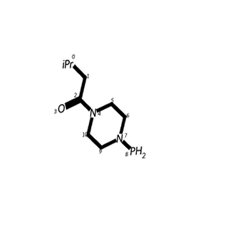 CC(C)CC(=O)N1CCN(P)CC1